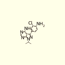 CC(C)n1nc(-c2ccc(N)c(Cl)c2)c2c(N)ncnc21